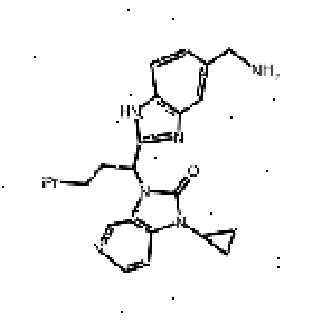 CC(C)CCC(c1nc2cc(CN)ccc2[nH]1)n1c(=O)n(C2CC2)c2ccncc21